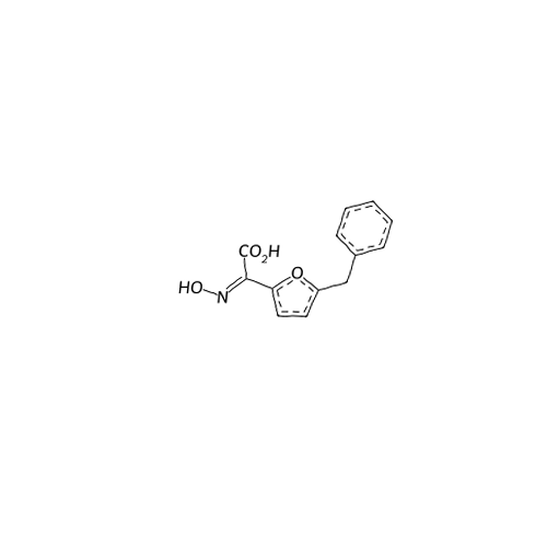 O=C(O)C(=NO)c1ccc(Cc2ccccc2)o1